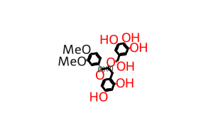 COc1ccc([C@H]2Oc3cc(O)cc(O)c3C[C@H]2OC(O)c2cc(O)c(O)c(O)c2)cc1OC